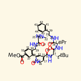 CCC[C@H](NC(=O)[C@H](CC(C)(C)C)NC(=O)c1cc[n+]([O-])cc1)C(=O)N[C@H](CN[C@@H](C)C(=O)NCc1ccc(C(=O)OC)cc1)Cc1ccccc1